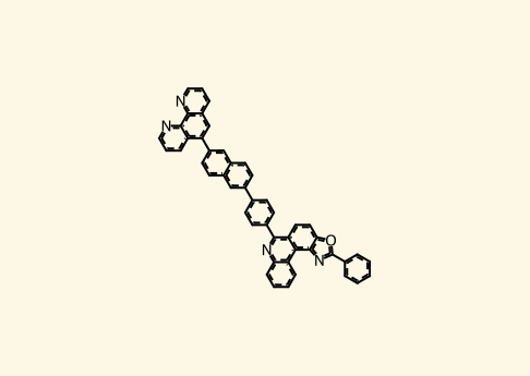 c1ccc(-c2nc3c(ccc4c(-c5ccc(-c6ccc7cc(-c8cc9cccnc9c9ncccc89)ccc7c6)cc5)nc5ccccc5c43)o2)cc1